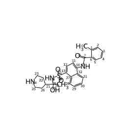 Cc1ccccc1C(=O)Nc1ccc(S(=O)(=O)NC(C)(O)C2CCNCC2)c2ccccc12